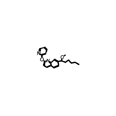 CCCCCC(OC)c1ccc2ccc(Oc3ccccn3)nc2c1